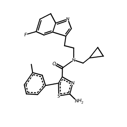 Cc1cccc(-c2sc(N)nc2C(=O)N(CCC2=CN=C3CC=C(F)C=C23)CC2CC2)c1